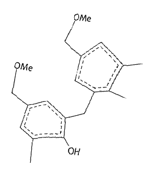 COCc1cc(C)c(C)c(Cc2cc(COC)cc(C)c2O)c1